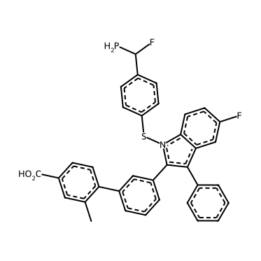 Cc1cc(C(=O)O)ccc1-c1cccc(-c2c(-c3ccccc3)c3cc(F)ccc3n2Sc2ccc(C(F)P)cc2)c1